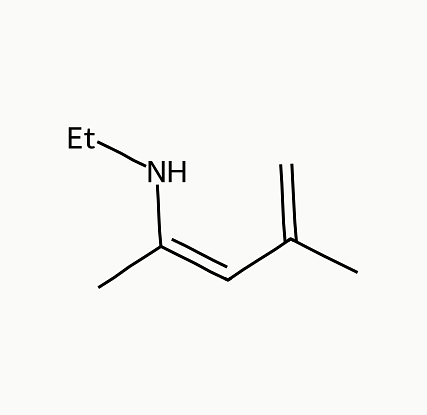 C=C(C)/C=C(/C)NCC